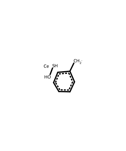 OS.[CH2]c1ccccc1.[Ce]